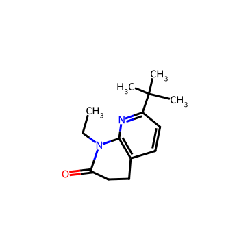 CCN1C(=O)CCc2ccc(C(C)(C)C)nc21